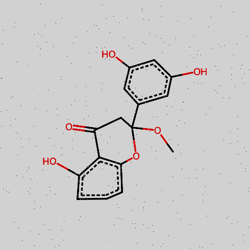 COC1(c2cc(O)cc(O)c2)CC(=O)c2c(O)cccc2O1